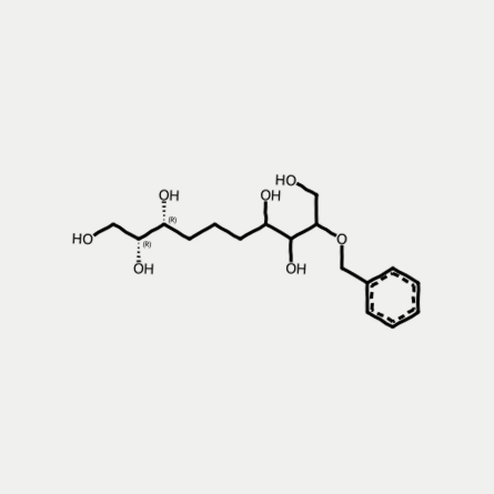 OCC(OCc1ccccc1)C(O)C(O)CCC[C@@H](O)[C@H](O)CO